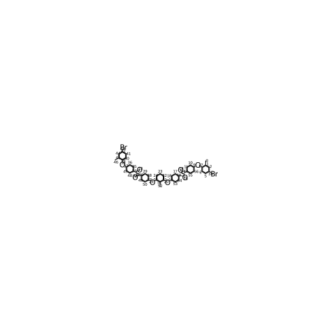 Cc1cc(Br)ccc1Oc1ccc(S(=O)(=O)c2ccc(Oc3cccc(Oc4ccc(S(=O)(=O)c5ccc(Oc6ccc(Br)cc6C)cc5)cc4)c3C)cc2)cc1